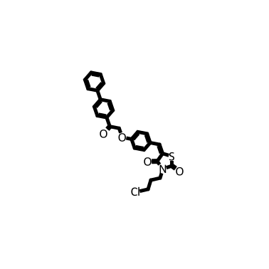 O=C(COc1ccc(C=C2SC(=O)N(CCCCl)C2=O)cc1)c1ccc(-c2ccccc2)cc1